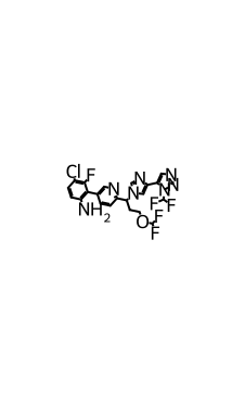 Nc1ccc(Cl)c(F)c1-c1ccc(C(CCOC(F)F)n2cnc(-c3cnnn3C(F)F)c2)nc1